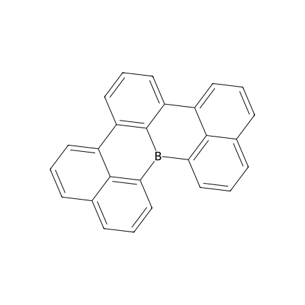 c1cc2c3c(c1)-c1cccc4cccc(c14)B3c1cccc3cccc-2c13